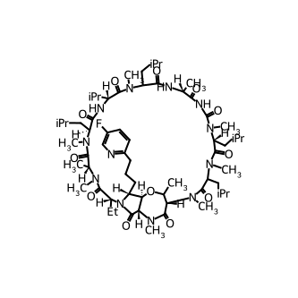 CC[C@@H]1C(=O)N(C)[C@H](C)C(=O)N(C)[C@@H](CC(C)C)C(=O)N[C@H](C(C)C)C(=O)N(C)C(CC(C)C)C(=O)N[C@H](C)C(=O)NC(=O)N(C)[C@H](CC(C)C)C(=O)N(C)C(CC(C)C)C(=O)N(C)[C@@H]2C(=O)N(C)[C@@H]3C(=O)N1[C@H](CCCc1ccc(F)cn1)[C@H]3OC2C